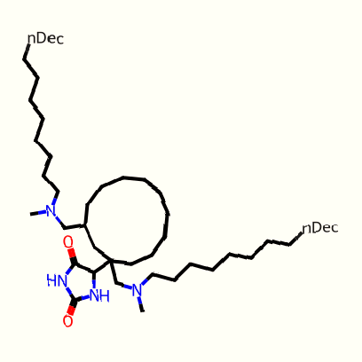 CCCCCCCCCCCCCCCCCCN(C)CC1CCCCCCCCCC(CN(C)CCCCCCCCCCCCCCCCCC)(C2NC(=O)NC2=O)C1